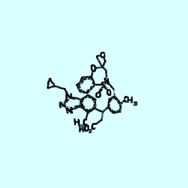 Cc1ccc(C(CC(=O)O)c2ccc3c(nnn3CC3CC3)c2C)cc1CN1CC2(COC2)Oc2ccccc2S1(=O)=O